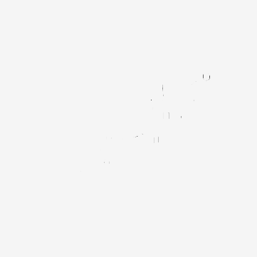 CC[C@]12CC[C@H]3[C@@H](CCC4=CC(=O)CC[C@@H]43)[C@@H]1CC[C@@H]2OC(=O)CC1CCCCC1